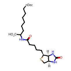 CCCCCCCCCCCCCCCCC(NC(=O)CCCC[C@@H]1SC[C@@H]2NC(=O)N[C@@H]21)C(=O)O